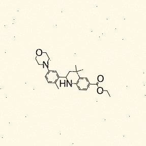 CCOC(=O)c1ccc2c(c1)C(C)(C)CC(c1cc(N3CCOCC3)ccc1C)N2